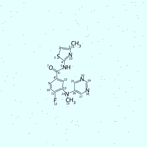 Cc1csc(NC(=O)c2ccc(F)c(N(C)c3cncnc3)c2)n1